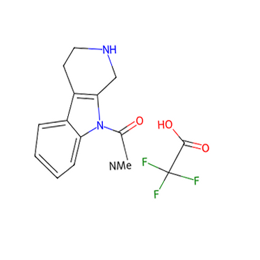 CNC(=O)n1c2c(c3ccccc31)CCNC2.O=C(O)C(F)(F)F